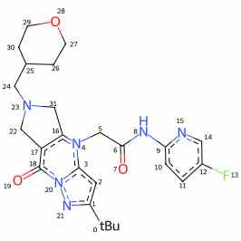 CC(C)(C)c1cc2n(CC(=O)Nc3ccc(F)cn3)c3c(c(=O)n2n1)CN(CC1CCOCC1)C3